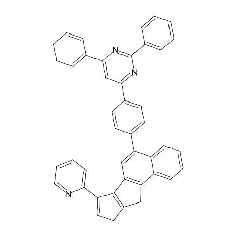 C1=CC(c2cc(-c3ccc(-c4cc5c(c6ccccc46)CC4=C5C(c5ccccn5)=CC4)cc3)nc(-c3ccccc3)n2)=CCC1